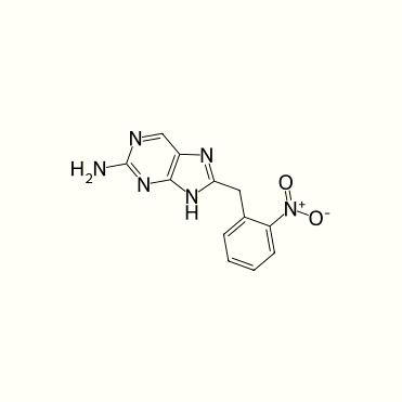 Nc1ncc2nc(Cc3ccccc3[N+](=O)[O-])[nH]c2n1